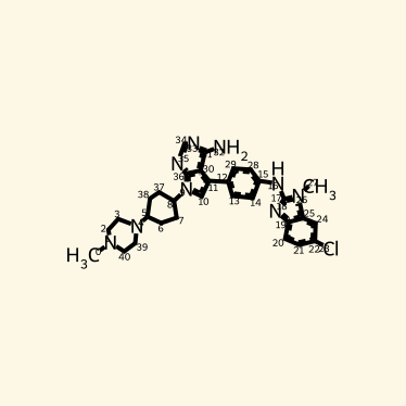 CN1CCN(C2CCC(n3cc(-c4ccc(Nc5nc6ccc(Cl)cc6n5C)cc4)c4c(N)ncnc43)CC2)CC1